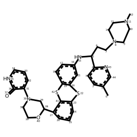 Cc1ccc(C(CCN2CCN(C)CC2)Nc2ccc3c(c2)Sc2cccc(C4CN(c5ccc[nH]c5=O)CCO4)c2S3)nc1